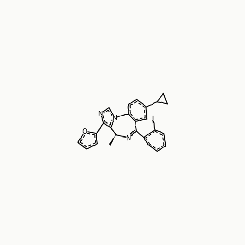 C[C@@H]1N=C(c2ccccc2I)c2cc(C3CC3)ccc2-n2cnc(-c3ccco3)c21